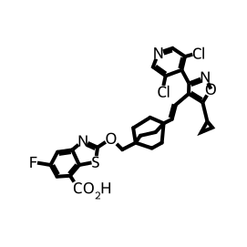 O=C(O)c1cc(F)cc2nc(OCC34CCC(C=Cc5c(-c6c(Cl)cncc6Cl)noc5C5CC5)(CC3)CC4)sc12